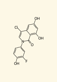 O=c1c2c(O)cc(O)cc2c(Cl)cn1-c1ccc(O)c(F)c1